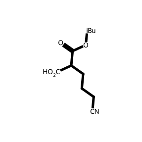 CCC(C)OC(=O)C(CCCC#N)C(=O)O